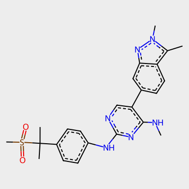 CNc1nc(Nc2ccc(C(C)(C)S(C)(=O)=O)cc2)ncc1-c1ccc2c(C)n(C)nc2c1